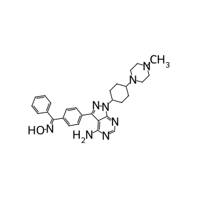 CN1CCN(C2CCC(n3nc(-c4ccc(C(=NO)c5ccccc5)cc4)c4c(N)ncnc43)CC2)CC1